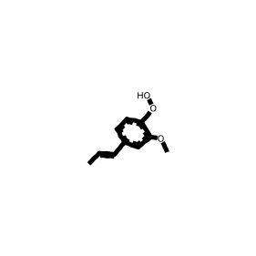 CC=Cc1ccc(OO)c(OC)c1